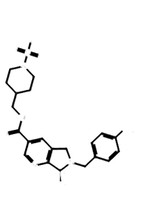 CCS(=O)(=O)N1CCC(CNC(=O)c2cnc3c(c2)CN(Cc2ccc(C(F)(F)F)cc2)[C@H]3C(C)C)CC1